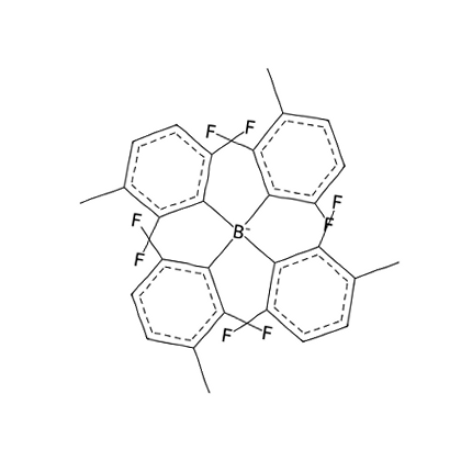 Cc1ccc(F)c([B-](c2c(F)ccc(C)c2F)(c2c(F)ccc(C)c2F)c2c(F)ccc(C)c2F)c1F